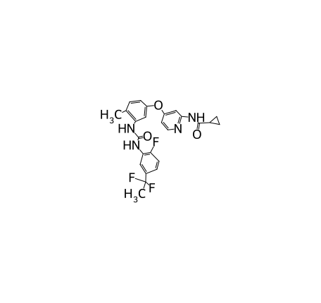 Cc1ccc(Oc2ccnc(NC(=O)C3CC3)c2)cc1NC(=O)Nc1cc(C(C)(F)F)ccc1F